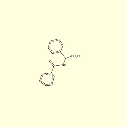 CCOC(=O)C(NC(=O)c1ccccc1)c1ccccc1